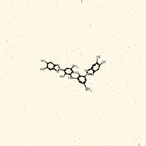 Bc1cc(Bc2cc(B)cc(-n3nc4cc(O)c(O)cc4n3)c2O)c(O)c(-n2nc3cc(O)c(O)cc3n2)c1